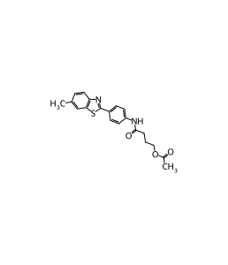 CC(=O)OCCCC(=O)Nc1ccc(-c2nc3ccc(C)cc3s2)cc1